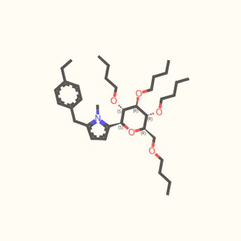 CCCCOC[C@H]1O[C@@H](c2ccc(Cc3ccc(CC)cc3)n2C)[C@H](OCCCC)[C@@H](OCCCC)[C@@H]1OCCCC